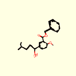 COc1ccc(C(O)CCC(C)C)cc1C(=O)OCc1ccccc1